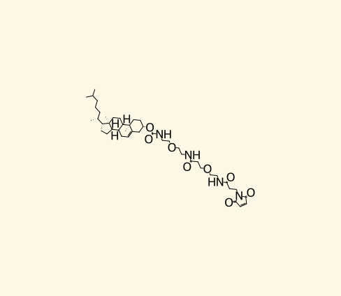 CC(C)CCC[C@@H](C)[C@H]1CC[C@H]2[C@@H]3CC=C4C[C@@H](OC(=O)NCCOCCNC(=O)CCOCCNC(=O)CCN5C(=O)C=CC5=O)CC[C@]4(C)[C@H]3CC[C@]12C